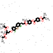 C=C(C)C(=O)OCC(C)(CCOc1ccc2c(sc3c(F)c(CCC(=O)Oc4ccc(OC(=O)c5ccc(OC(=O)C(=C)C)cc5)cc4C)ccc32)c1F)COC(=O)C(=C)C